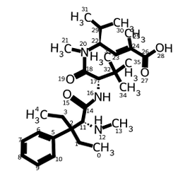 CCC(CC)(c1ccccc1)[C@@H](NC)C(=O)N[C@H](C(=O)N(C)[C@H](/C=C(\C)C(=O)O)C(C)C)C(C)(C)C